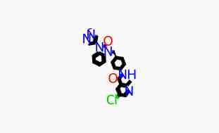 Cc1ncc(Cl)cc1C(=O)N[C@H]1CC[C@H](Cn2c(=O)n(-c3cnn(C)c3)c3ccccc32)CC1